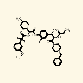 CCC(=O)N[C@@H](C(=O)N1CCN(Cc2ccccc2)CC1)[C@@H](C)c1ccc(NC(=O)[C@@H](NC(=O)C(F)(F)c2cncc(OC)c2)[C@H]2CC[C@H](C)CC2)c(F)c1